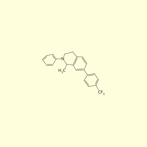 CC1c2cc(-c3ccc(C(F)(F)F)cc3)ccc2CCN1c1ccccc1